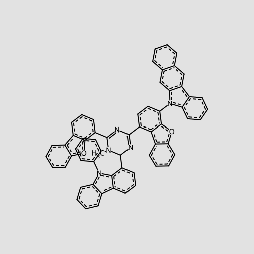 CN1C(c2cccc3c2oc2ccccc23)=NC(c2ccc(-n3c4ccccc4c4cc5ccccc5cc43)c3oc4ccccc4c23)=NC1c1cccc2c3ccccc3n(-c3ccccc3)c12